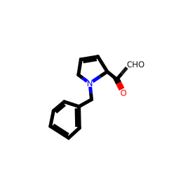 O=CC(=O)C1C=CCN1Cc1ccccc1